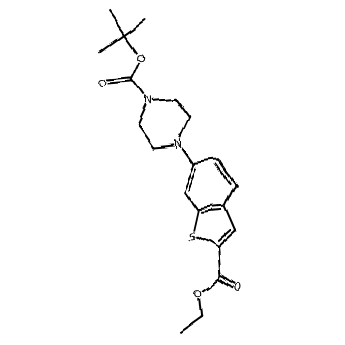 CCOC(=O)c1cc2ccc(N3CCN(C(=O)OC(C)(C)C)CC3)cc2s1